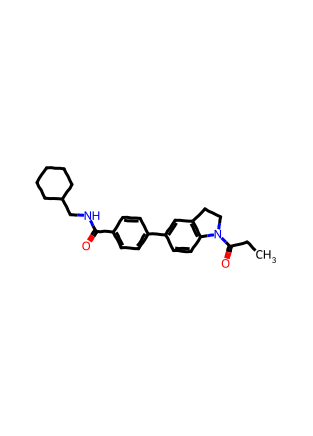 CCC(=O)N1CCc2cc(-c3ccc(C(=O)NCC4CCCCC4)cc3)ccc21